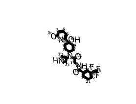 COc1cccc(C2(O)CCC(N(C(=O)CNC(=O)c3cccc(C(F)(F)F)c3)C3CNC3)CC2)n1